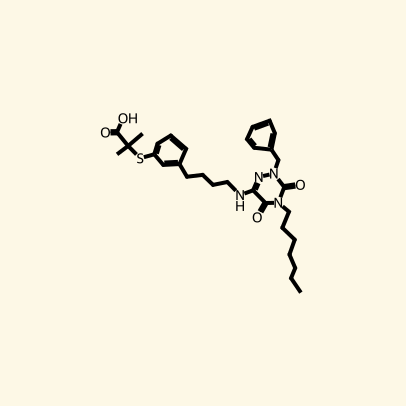 CCCCCCCn1c(=O)c(NCCCCc2cccc(SC(C)(C)C(=O)O)c2)nn(Cc2ccccc2)c1=O